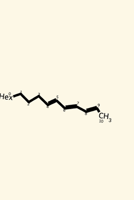 [CH2]CCCCCCCCC=CC=CC=CC